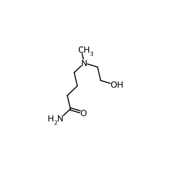 CN(CCO)CCCC(N)=O